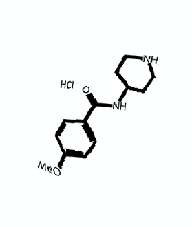 COc1ccc(C(=O)NC2CCNCC2)cc1.Cl